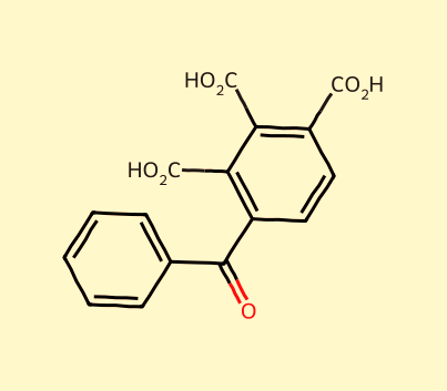 O=C(O)c1ccc(C(=O)c2ccccc2)c(C(=O)O)c1C(=O)O